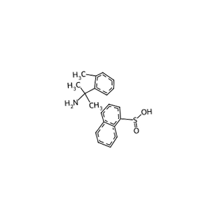 Cc1ccccc1C(C)(C)N.O=S(O)c1cccc2ccccc12